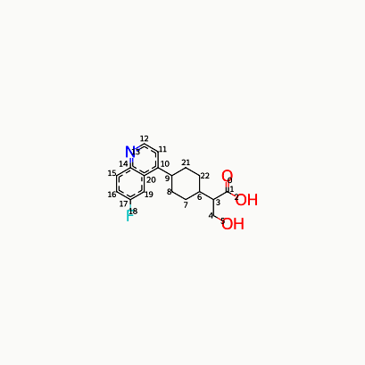 O=C(O)C(CO)C1CCC(c2ccnc3ccc(F)cc23)CC1